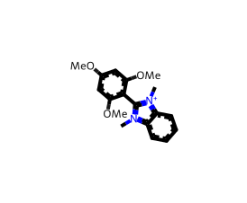 COc1cc(OC)c(-c2n(C)c3ccccc3[n+]2C)c(OC)c1